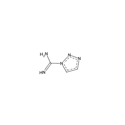 N=C(N)n1ccnn1